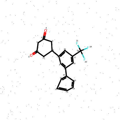 O=C1CC(=O)CC(c2cc(-c3ccccc3)cc(C(F)(F)F)c2)C1